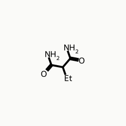 CCC(C(N)=O)C(N)=O